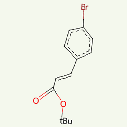 CC(C)(C)OC(=O)C=Cc1ccc(Br)cc1